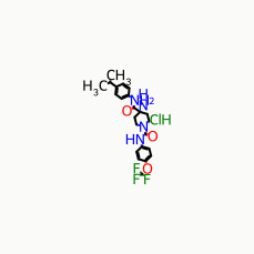 CC(C)c1ccc(NC(=O)C2(N)CCN(C(=O)Nc3ccc(OC(F)(F)F)cc3)CC2)cc1.Cl